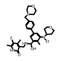 CCN(c1cc(-c2ccc(CN3CCOCC3)cc2)cc(C(O)NCc2c(C)c(F)c(C)[nH]c2=O)c1C)C1CCOCC1